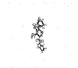 Cc1nn2c(C(C)C)c(C(=O)NC3CCc4ccccc43)cnc2c1-c1cccc(F)c1